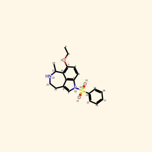 CCOc1ccc2c3c(cn2S(=O)(=O)c2ccccc2)CCNC(C)c13